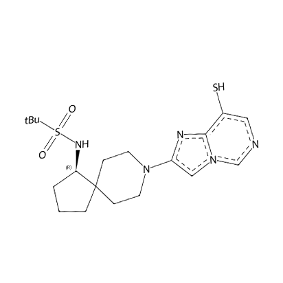 CC(C)(C)S(=O)(=O)N[C@@H]1CCCC12CCN(c1cn3cncc(S)c3n1)CC2